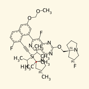 COCOc1cc(-c2ncc3c(N4CC[C@@H](C)C4)nc(OC[C@@]45CCCN4C[C@H](F)C5)nc3c2F)c2c(C#C[Si](C(C)C)(C(C)C)C(C)C)c(F)ccc2c1